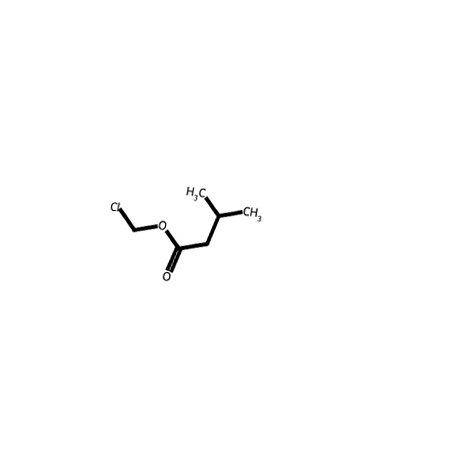 CC(C)CC(=O)OCCl